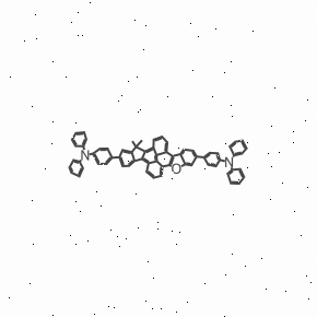 CC1(C)c2cc(-c3ccc(N(c4ccccc4)c4ccccc4)cc3)ccc2-c2c1c1cccc3c4c5ccc(-c6ccc(N(c7ccccc7)c7ccccc7)cc6)cc5oc4c4cccc2c4c13